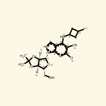 CC1(C)O[C@@H]2[C@H](O1)[C@@H](CO)O[C@H]2n1ncc2c(NC3CC(F)C3)c(C#N)c(Cl)nc21